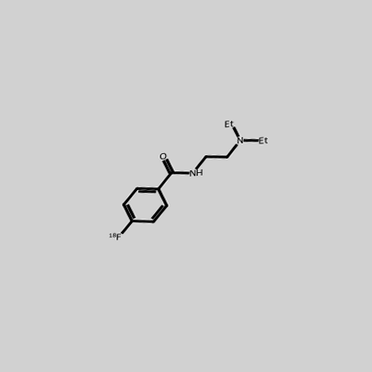 CCN(CC)CCNC(=O)c1ccc([18F])cc1